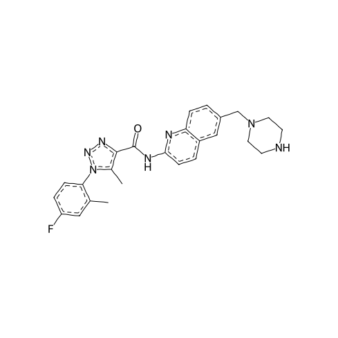 Cc1cc(F)ccc1-n1nnc(C(=O)Nc2ccc3cc(CN4CCNCC4)ccc3n2)c1C